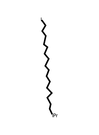 CC(C)CCCCCCCCCCCCCCCCI